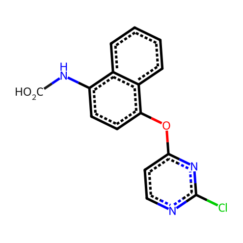 O=C(O)Nc1ccc(Oc2ccnc(Cl)n2)c2ccccc12